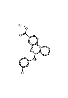 COC(=O)c1ccc2c(c1)nc(Nc1cccc(Cl)c1)c1ccccc12